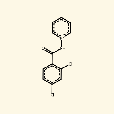 O=C(N[n+]1ccccc1)c1ccc(Cl)cc1Cl